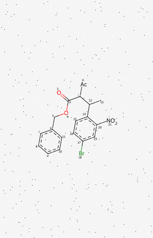 CC(=O)C(C(=O)OCc1ccccc1)C(C)c1ccc(Br)cc1[N+](=O)[O-]